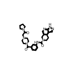 O=C(CN1CCN(C(=O)c2cccc(NC(=O)N3CCc4c(cnc5[nH]ncc45)C3)c2)CC1)N1CCCC1